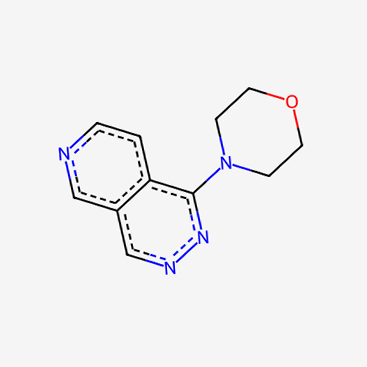 c1cc2c(N3CCOCC3)nncc2cn1